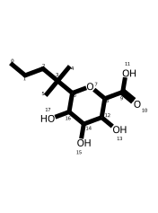 CCCC(C)(C)C1OC(C(=O)O)C(O)C(O)C1O